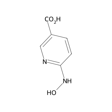 O=C(O)c1ccc(NO)nc1